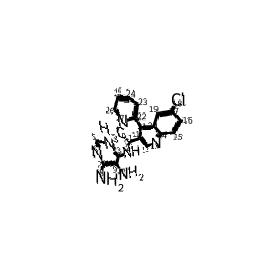 C[C@H](Nc1ncnc(N)c1N)c1cnc2ccc(Cl)cc2c1-c1ccccn1